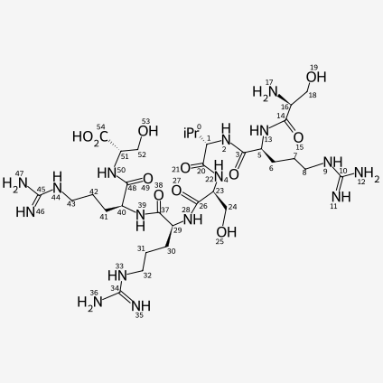 CC(C)[C@H](NC(=O)[C@H](CCCNC(=N)N)NC(=O)[C@@H](N)CO)C(=O)N[C@@H](CO)C(=O)N[C@@H](CCCNC(=N)N)C(=O)N[C@@H](CCCNC(=N)N)C(=O)N[C@@H](CO)C(=O)O